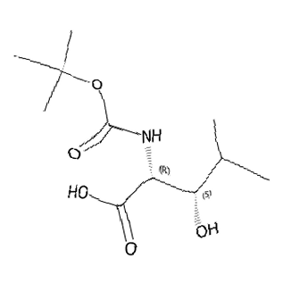 CC(C)[C@H](O)[C@@H](NC(=O)OC(C)(C)C)C(=O)O